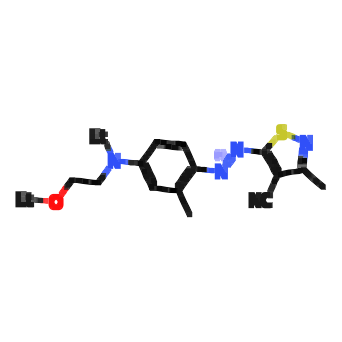 CCOCCN(CC)c1ccc(/N=N/c2snc(C)c2C#N)c(C)c1